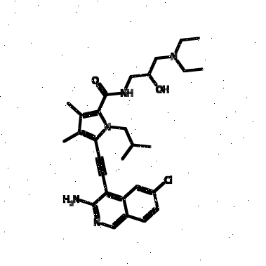 CCN(CC)CC(O)CNC(=O)c1c(C)c(C)c(C#Cc2c(N)ncc3ccc(Cl)cc23)n1CC(C)C